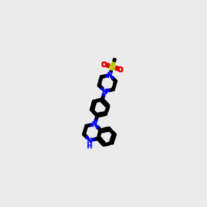 CS(=O)(=O)N1CCN(c2ccc(N3CCNc4ccccc43)cc2)CC1